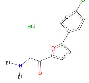 CCN(CC)CC(=O)c1ccc(-c2ccc(Cl)cc2)o1.Cl